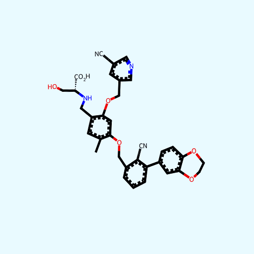 Cc1cc(CN[C@H](CO)C(=O)O)c(OCc2cncc(C#N)c2)cc1OCc1cccc(-c2ccc3c(c2)OCCO3)c1C#N